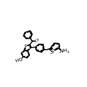 Nc1ccc(-c2ccc(-c3c(C(=O)c4ccccc4)sc4cc(O)ccc34)cc2)s1